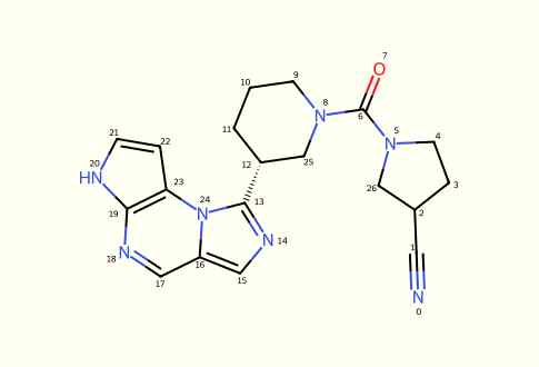 N#CC1CCN(C(=O)N2CCC[C@@H](c3ncc4cnc5[nH]ccc5n34)C2)C1